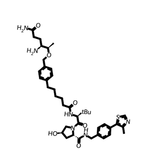 Cc1ncsc1-c1ccc(CNC(=O)[C@@H]2C[C@@H](O)CN2C(=O)[C@@H](NC(=O)CCCCCc2ccc(CO[C@H](C)[C@@H](N)CCC(N)=O)cc2)C(C)(C)C)cc1